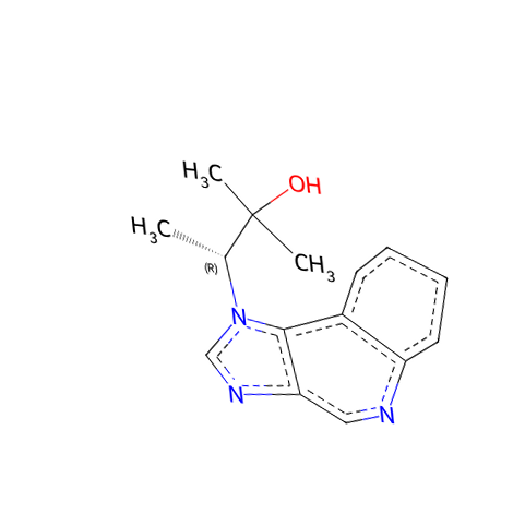 C[C@@H](n1cnc2cnc3ccccc3c21)C(C)(C)O